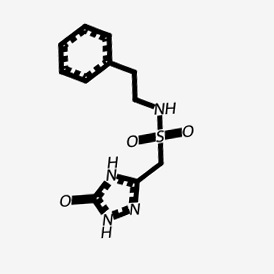 O=c1[nH]nc(CS(=O)(=O)NCCc2ccccc2)[nH]1